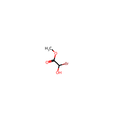 COC(=O)C(O)Br